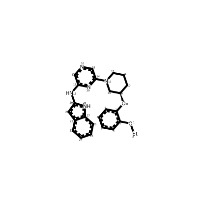 CCOc1ccccc1O[C@@H]1CCCN(c2cncc(Nc3cc4ccccc4[nH]3)n2)C1